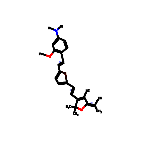 [C-]#[N+]C1=C(/C=C/c2ccc(/C=C/c3ccc(N(CC)CC)cc3OC(C)C)s2)C(C)(C)O/C1=C(\C)C#N